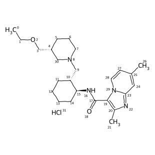 CCOC[C@@H]1CCCN(C[C@H]2CCCC[C@@H]2NC(=O)c2c(C)nc3cc(C)ccn23)C1.Cl